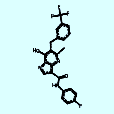 Cc1nc2c(C(=O)Nc3ccc(F)cc3)cnn2c(O)c1Cc1cccc(C(F)(F)F)c1